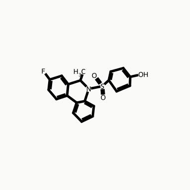 CC1c2cc(F)ccc2-c2ccccc2N1S(=O)(=O)c1ccc(O)cc1